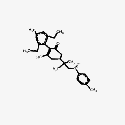 CCc1cc(C)cc(CC)c1C1=C(O)CC(C(C)(C)C[S+]([O-])c2ccc(C)cc2)CC1=O